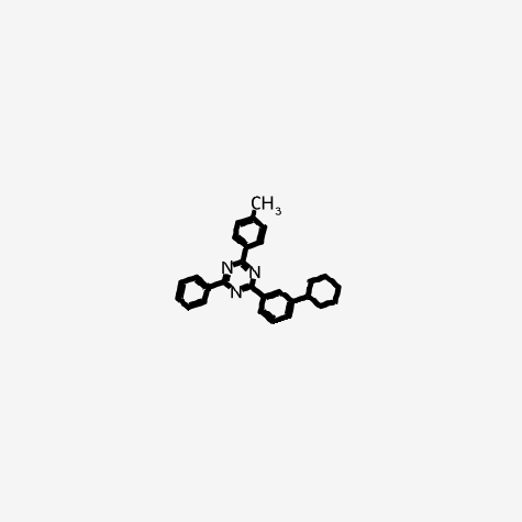 Cc1ccc(-c2nc(-c3ccccc3)nc(-c3cccc(C4CCCCC4)c3)n2)cc1